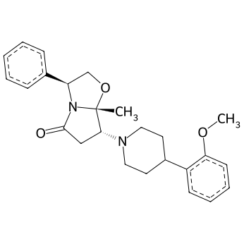 COc1ccccc1C1CCN([C@@H]2CC(=O)N3[C@@H](c4ccccc4)CO[C@]23C)CC1